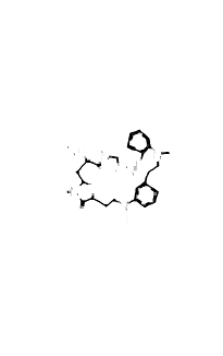 CCN1C(=O)C(CCNc2cccc(CCN(C)c3ccccc3F)c2)SC1CC(C#N)C(=O)NCC#N